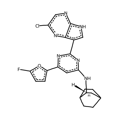 Fc1ccc(-c2cc(N[C@@H]3CC4CCC3CC4)nc(-c3c[nH]c4ncc(Cl)nc34)n2)o1